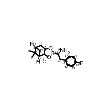 CC1(C)[C@@H]2CC3OB([C@@H](N)Cc4ccc(F)cc4)O[C@@]3(C)[C@H]1C2